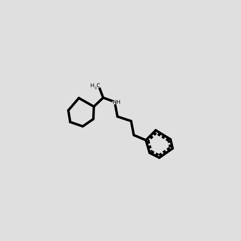 CC(NCCCc1ccccc1)C1CCCCC1